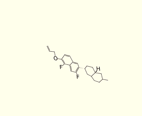 C=CCOc1ccc2cc([C@@H]3CC[C@@H]4CC(C)CCC4C3)c(F)cc2c1F